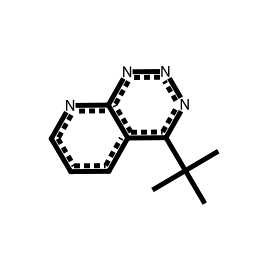 CC(C)(C)c1nnnc2ncccc12